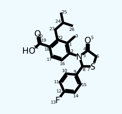 Cc1c(N2C(=O)CSC2c2ccc(F)cc2)ccc(C(=O)O)c1CC(C)C